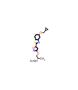 CC(=O)N[C@@H](C)COc1cc(-c2nc3cc(OCC4CC4)ccc3s2)on1